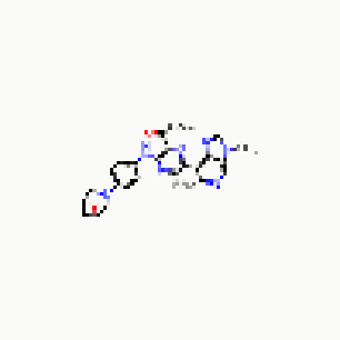 CNc1nc(Nc2ccc(N3CC4CC(C3)O4)cc2)c(C(=O)OC)nc1-c1cncc2c1ncn2C